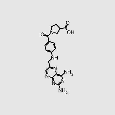 Nc1nc(N)c2nc(CNc3ccc(C(=O)N4CCC(C(=O)O)C4)cc3)cnc2n1